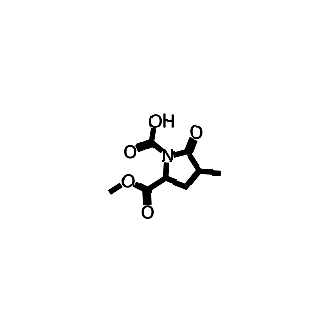 COC(=O)C1CC(C)C(=O)N1C(=O)O